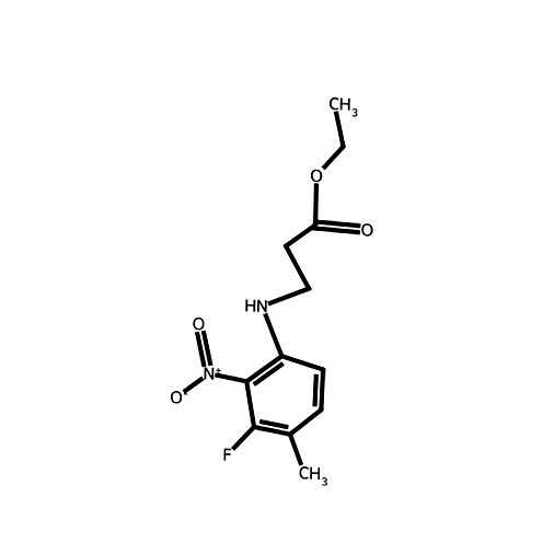 CCOC(=O)CCNc1ccc(C)c(F)c1[N+](=O)[O-]